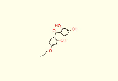 CCCOc1ccc(C(=O)c2ccc(O)cc2O)c(O)c1